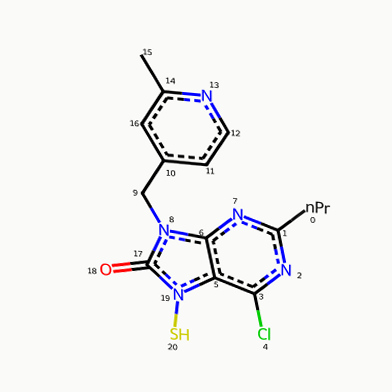 CCCc1nc(Cl)c2c(n1)n(Cc1ccnc(C)c1)c(=O)n2S